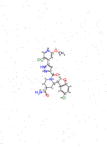 COc1cc(-c2cc(C(=O)N3CCC(C(N)=O)CC3C3COc4ccc(Cl)cc43)n[nH]2)c(Cl)cn1